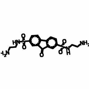 NCCNS(=O)(=O)c1ccc2c(c1)C(=O)c1cc(S(=O)(=O)NCCN)ccc1-2